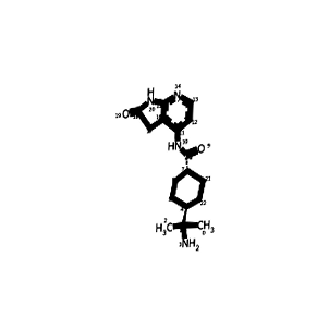 CC(C)(N)[C@H]1CC[C@H](C(=O)Nc2ccnc3c2CC(=O)N3)CC1